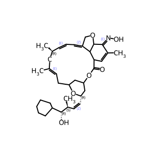 CC1=CC2C(=O)OC3CC(C/C=C(\C)C[C@@H](C)/C=C/C=C4\COC(/C1=N/O)C42)O[C@@H](/C=C\[C@H](C)[C@H](O)C1CCCCC1)C3